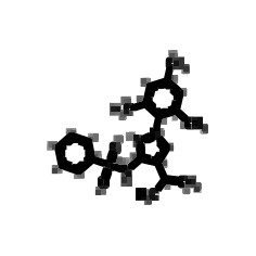 C=C(C)c1cn(-c2c(C)cc(C)cc2C)nc1NS(=O)(=O)c1ccccc1